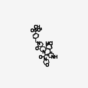 CS(=O)(=O)c1ccc(CN2CCC3(CCN(C(C(=O)N4CCOCC4)[C@@H]4CNC[C@@H]4c4ccccc4)CC3)C2=O)cc1.Cl